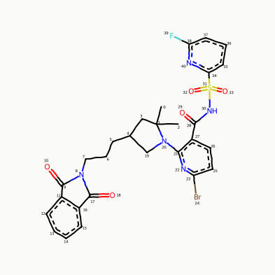 CC1(C)CC(CCCN2C(=O)c3ccccc3C2=O)CN1c1nc(Br)ccc1C(=O)NS(=O)(=O)c1cccc(F)n1